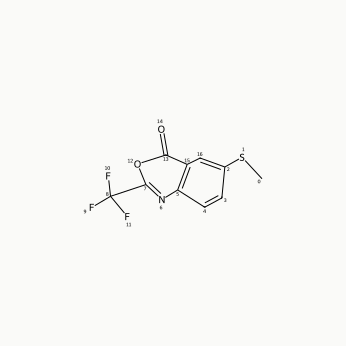 CSc1ccc2nc(C(F)(F)F)oc(=O)c2c1